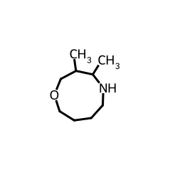 CC1COCCCCNC1C